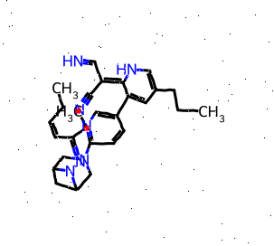 CC/C=C\C(CC)=N/N1C2CC1CN(c1ccc(C3=CC(CCC)=CN/C3=C(/C#N)C=N)cn1)C2